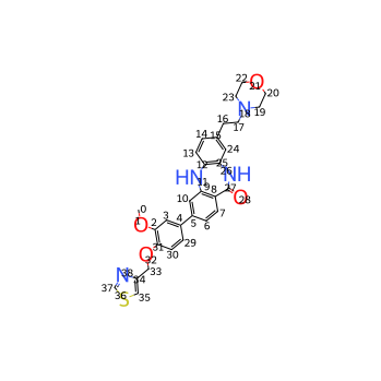 COc1cc(-c2ccc3c(c2)Nc2ccc(CCN4CCOCC4)cc2NC3=O)ccc1OCc1cscn1